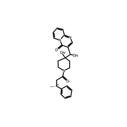 C[C@H](CC(=O)N1CCC(O)(C(O)c2cnc3ccccn3c2=O)CC1)c1ccccc1